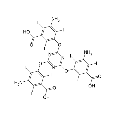 Nc1c(I)c(Oc2nc(Oc3c(I)c(N)c(I)c(C(=O)O)c3I)nc(Oc3c(I)c(N)c(I)c(C(=O)O)c3I)n2)c(I)c(C(=O)O)c1I